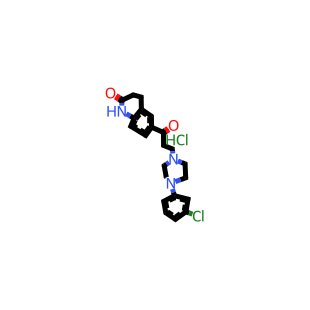 Cl.O=C1CCc2cc(C(=O)CCN3CCN(c4cccc(Cl)c4)CC3)ccc2N1